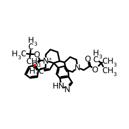 C=CC1(c2ccc3cn[nH]c3c2)C(C2CCN(CC(=O)OC(C)(C)C)CC2)CCC[N+]1(Cc1ccccc1)C(=O)OC(C)(C)C